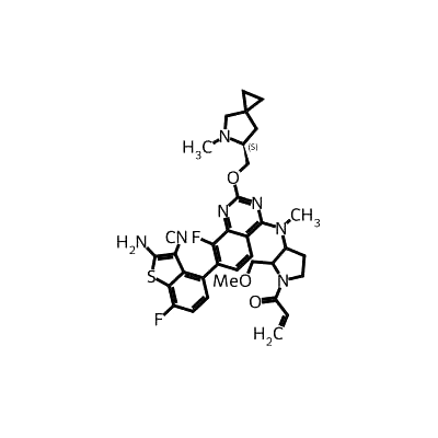 C=CC(=O)N1CCC(N(C)c2nc(OC[C@@H]3CC4(CC4)CN3C)nc3c(F)c(-c4ccc(F)c5sc(N)c(C#N)c45)ccc23)C1COC